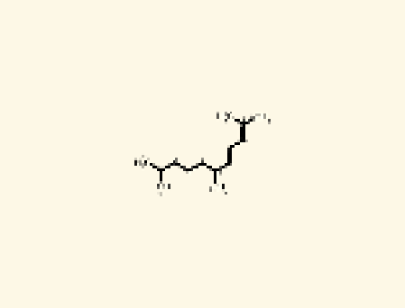 CC(C)=CCCC(C)CCCC(C)O